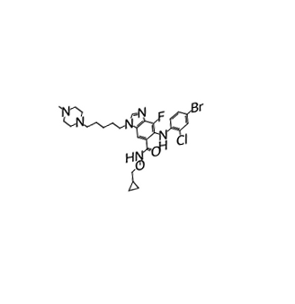 CN1CCN(CCCCCn2cnc3c(F)c(Nc4ccc(Br)cc4Cl)c(C(=O)NOCC4CC4)cc32)CC1